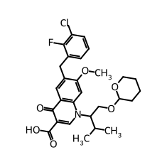 COc1cc2c(cc1Cc1cccc(Cl)c1F)c(=O)c(C(=O)O)cn2C(COC1CCCCO1)C(C)C